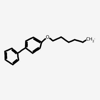 [CH2]CCCCCOc1ccc(-c2ccccc2)cc1